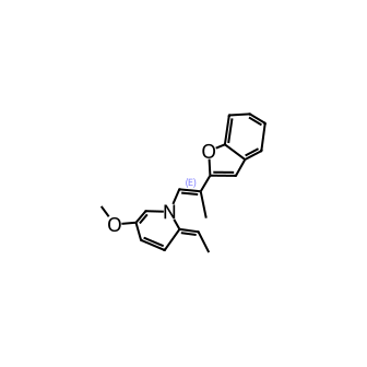 CC=C1C=CC(OC)=CN1/C=C(\C)c1cc2ccccc2o1